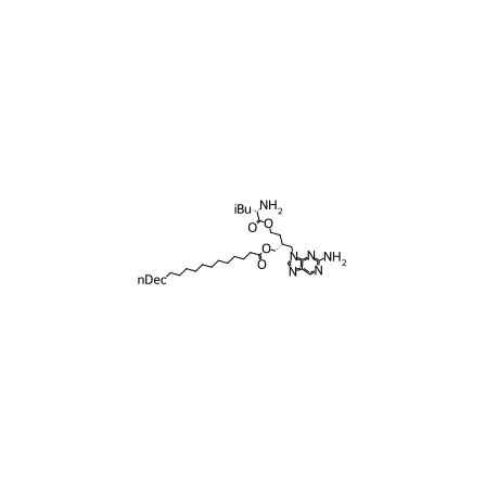 CCCCCCCCCCCCCCCCCCCCCC(=O)OC[C@H](CCOC(=O)[C@@H](N)[C@@H](C)CC)Cn1cnc2cnc(N)nc21